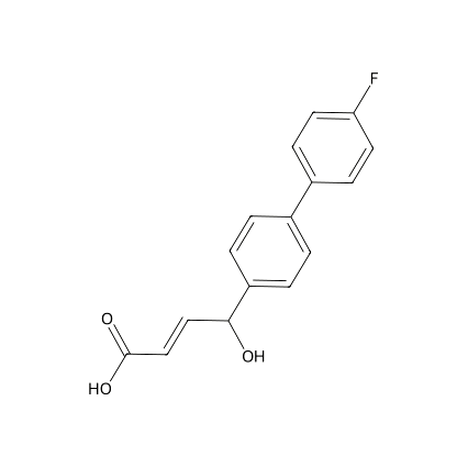 O=C(O)/C=C/C(O)c1ccc(-c2ccc(F)cc2)cc1